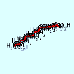 N[C@@H](CCC(=O)OC(=O)[C@@H](N)CCC(=O)OC(=O)CC[C@H](N)C(=O)OC(=O)[C@@H](N)CCC(=O)OC(=O)[C@@H](N)CCC(=O)OC(=O)CC[C@H](N)C(=O)OC(=O)CC[C@H](N)C(=O)OC(=O)CC[C@H](N)C(=O)OC(=O)[C@@H](N)CCC(=O)OC(=O)[C@@H](N)CCC(=O)OC(=O)CC[C@H](N)C(=O)OC(=O)CC[C@H](N)C(=O)OC(=O)[C@@H](N)CCC(=O)OC(=O)CC[C@H](N)C(=O)OC(=O)CC[C@H](N)C(=O)O)C(=O)O